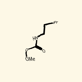 COOC(=O)NCCC(C)C